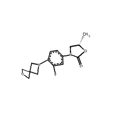 C[C@H]1CN(c2ccc(N3CC4(COC4)C3)c(F)c2)C(=O)O1